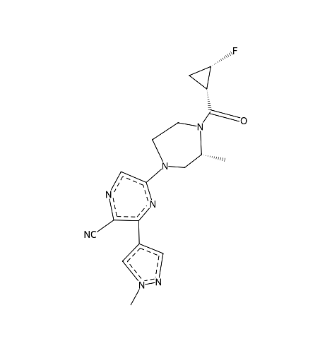 C[C@@H]1CN(c2cnc(C#N)c(-c3cnn(C)c3)n2)CCN1C(=O)[C@@H]1C[C@@H]1F